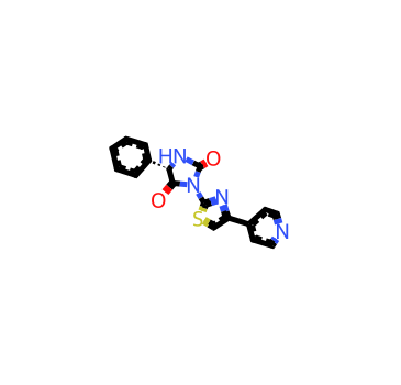 O=C1N[C@@H](c2ccccc2)C(=O)N1c1nc(-c2ccncc2)cs1